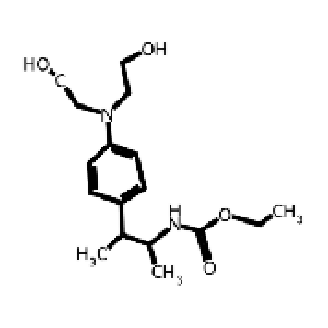 CCOC(=O)NC(C)C(C)c1ccc(N(CCO)CCO)cc1